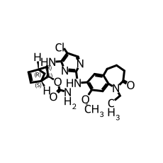 CCN1C(=O)CCCc2cc(Nc3ncc(Cl)c(N[C@H]4[C@@H](OC(N)=O)[C@@H]5C=C[C@H]4C5)n3)c(OC)cc21